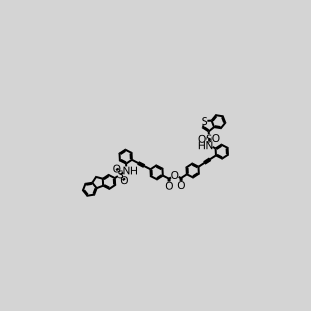 O=C(OC(=O)c1ccc(C#Cc2ccccc2NS(=O)(=O)c2csc3ccccc23)cc1)c1ccc(C#Cc2ccccc2NS(=O)(=O)c2ccc3c(c2)Cc2ccccc2-3)cc1